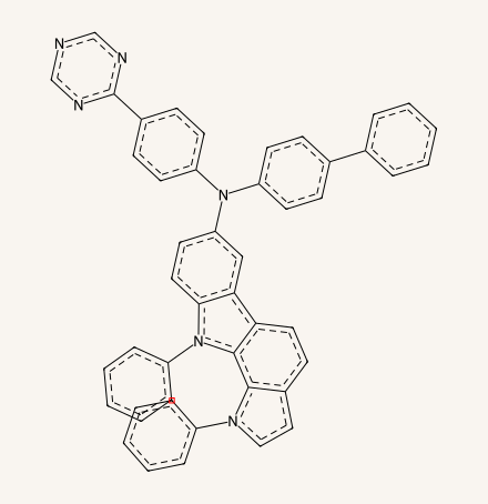 c1ccc(-c2ccc(N(c3ccc(-c4ncncn4)cc3)c3ccc4c(c3)c3ccc5ccn(-c6ccccc6)c5c3n4-c3ccccc3)cc2)cc1